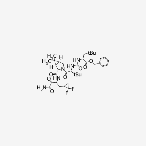 CC(C)(C)C[C@H](NC(=O)N[C@H](C(=O)N1C[C@H]2[C@@H]([C@H]1C(=O)NC(CC1CC1(F)F)C(=O)C(N)=O)C2(C)C)C(C)(C)C)C(=O)OCc1ccccc1